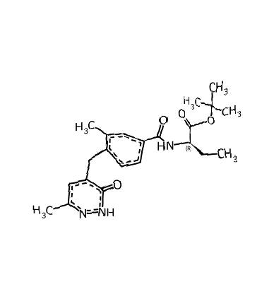 CC[C@@H](NC(=O)c1ccc(Cc2cc(C)n[nH]c2=O)c(C)c1)C(=O)OC(C)(C)C